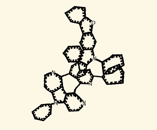 c1ccc(-c2cc(-c3ccccc3)nc(-c3nccc4c3c3c(-c5ccc6c(c5)c5cc7c(cc5n6-c5ccccc5)oc5ccccc57)nccc3n4-c3ccccc3)n2)cc1